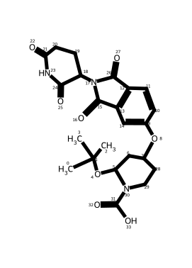 CC(C)(C)OC1CC(Oc2ccc3c(c2)C(=O)N(C2CCC(=O)NC2=O)C3=O)CCN1C(=O)O